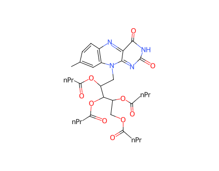 CCCC(=O)OCC(OC(=O)CCC)C(OC(=O)CCC)C(Cn1c2nc(=O)[nH]c(=O)c-2nc2ccc(C)cc21)OC(=O)CCC